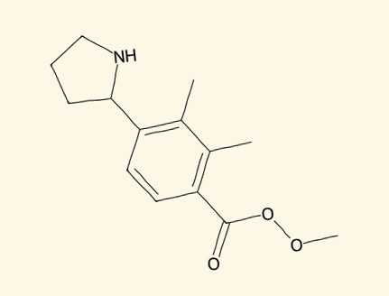 COOC(=O)c1ccc(C2CCCN2)c(C)c1C